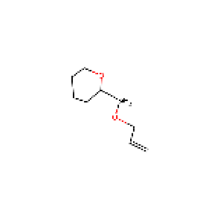 C=CCO[SiH2]C1CCCCO1